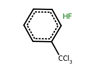 ClC(Cl)(Cl)c1ccccc1.F